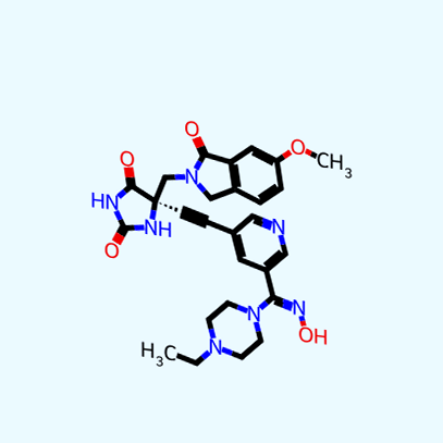 CCN1CCN(C(=NO)c2cncc(C#C[C@]3(CN4Cc5ccc(OC)cc5C4=O)NC(=O)NC3=O)c2)CC1